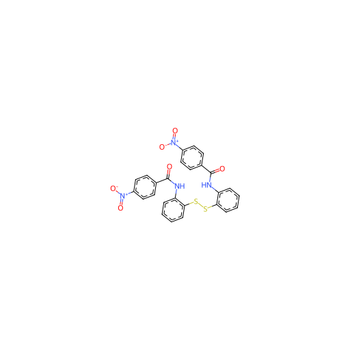 O=C(Nc1ccccc1SSc1ccccc1NC(=O)c1ccc([N+](=O)[O-])cc1)c1ccc([N+](=O)[O-])cc1